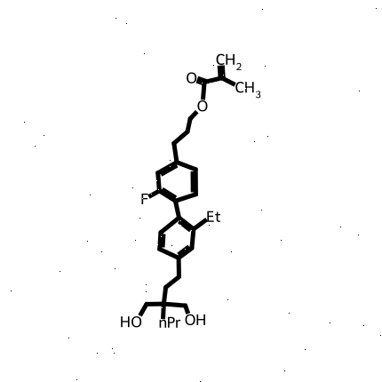 C=C(C)C(=O)OCCCc1ccc(-c2ccc(CCC(CO)(CO)CCC)cc2CC)c(F)c1